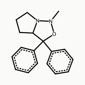 CN1OC(c2ccccc2)(c2ccccc2)C2CCCN21